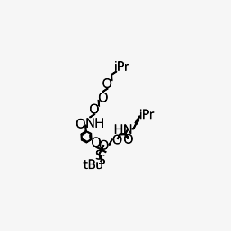 CC(C)C#CCNC(=O)COCCOC(C)(COc1cccc(C(=O)NCCOCCOCCOCCCC(C)C)c1)SSC(C)(C)C